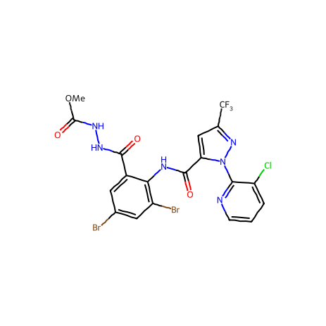 COC(=O)NNC(=O)c1cc(Br)cc(Br)c1NC(=O)c1cc(C(F)(F)F)nn1-c1ncccc1Cl